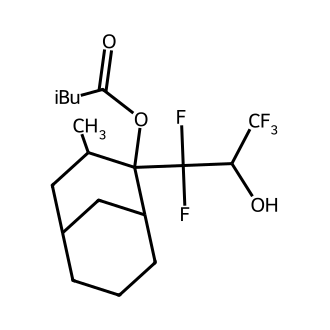 CCC(C)C(=O)OC1(C(F)(F)C(O)C(F)(F)F)C(C)CC2CCCC1C2